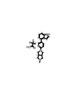 CN1CC2CN(c3ccc(-c4cccc5[nH]ccc45)cn3)CC2C1.O=C(O)C(F)(F)F